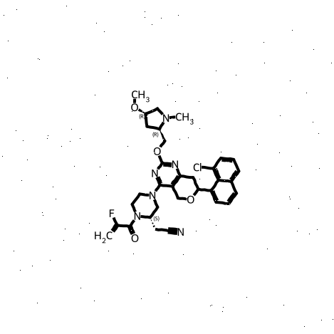 C=C(F)C(=O)N1CCN(c2nc(OC[C@H]3C[C@@H](OC)CN3C)nc3c2COC(c2cccc4cccc(Cl)c24)C3)C[C@@H]1CC#N